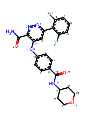 NC(=O)c1nnc(-c2c(F)cccc2F)cc1Nc1ccc(C(=O)NC2CCOCC2)cc1